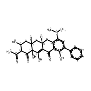 CN(C)c1cc(-c2cccnc2)c(O)c2c1C[C@H]1C[C@H]3CC(O)C(C(N)=O)C(=O)[C@@]3(O)C(O)=C1C2=O